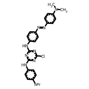 CCCc1ccc(Nc2nc(Cl)nc(Nc3ccc(N=Nc4ccc(N(C)C)cc4)cc3)n2)cc1